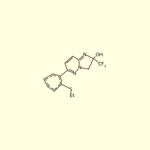 CCSc1ccccc1C1=NN2CC(O)(C(F)(F)F)N=C2C=C1